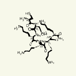 NCCCC[C@H](NC(=O)[C@H](CCCCN)NC(=O)[C@H](CCCCN)NC(=O)[C@H](CCCCN)NC(=O)[C@H](CO)NC(=O)[C@@H](N)CS)C(N)=O